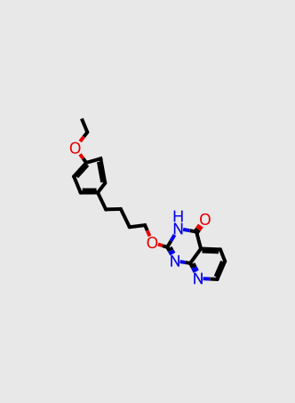 CCOc1ccc(CCCCOc2nc3ncccc3c(=O)[nH]2)cc1